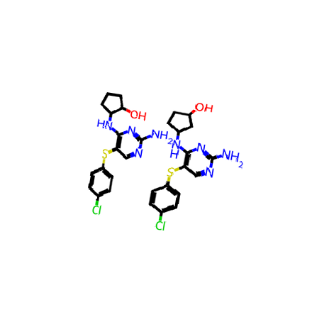 Nc1ncc(Sc2ccc(Cl)cc2)c(NC2CCC(O)C2)n1.Nc1ncc(Sc2ccc(Cl)cc2)c(NC2CCCC2O)n1